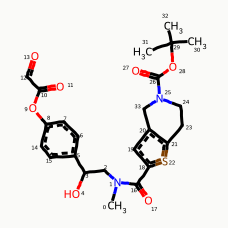 CN(CC(O)c1ccc(OC(=O)C=O)cc1)C(=O)c1cc2c(s1)CCN(C(=O)OC(C)(C)C)C2